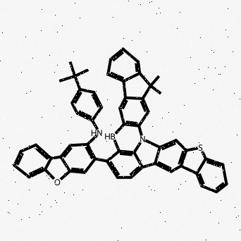 CC(C)(C)c1ccc(Nc2cc3c(cc2-c2ccc4c5cc6c(cc5n5c4c2Bc2cc4c(cc2-5)C(C)(C)c2ccccc2-4)sc2ccccc26)oc2ccccc23)cc1